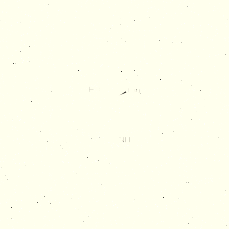 C[C@H](C1CCNC1)C(C)(C)C